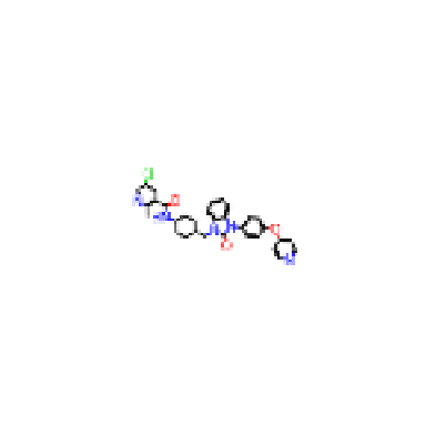 Cc1ncc(Cl)cc1C(=O)NC1CCC(Cn2c(=O)n(-c3ccc(Oc4ccncc4)cc3)c3ccccc32)CC1